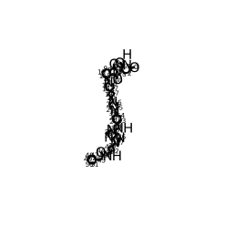 O=C1CC[C@H](N2C(=O)c3cccc(N4CCC5(CC4)CC(N4CCN(c6ccc(Nc7ncnc8c7ncn8C7CC(NC(=O)Cc8ccccc8)C7)cc6)CC4)C5)c3C2=O)C(=O)N1